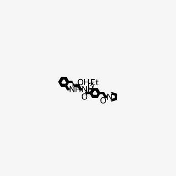 CCOc1cc(CC(=O)N2CCCC2)ccc1C(=O)NC[C@@H](O)[C@@H]1Cc2ccccc2CN1